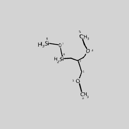 COCC(OC)[SiH2]O[SiH3]